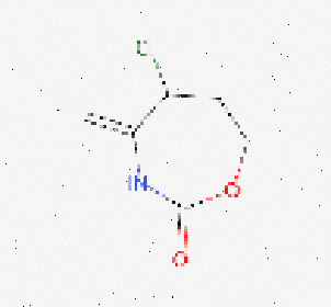 C=C1NC(=O)OCCC1Cl